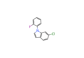 Clc1ccc2ccn(-c3ccccc3I)c2c1